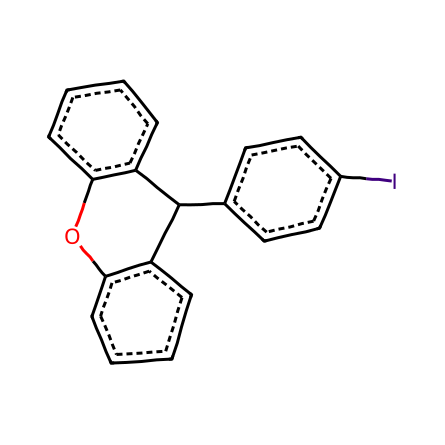 Ic1ccc(C2c3ccccc3Oc3ccccc32)cc1